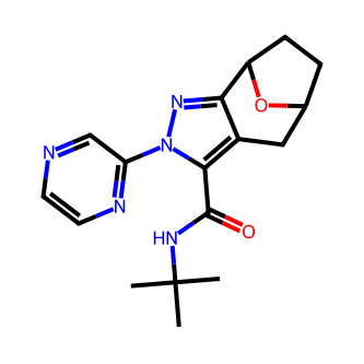 CC(C)(C)NC(=O)c1c2c(nn1-c1cnccn1)C1CCC(C2)O1